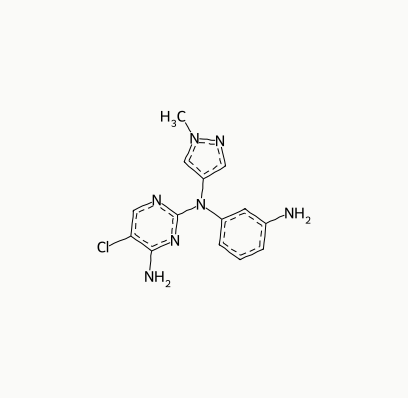 Cn1cc(N(c2cccc(N)c2)c2ncc(Cl)c(N)n2)cn1